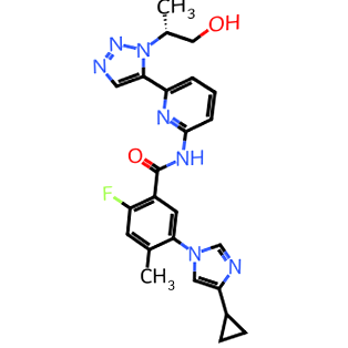 Cc1cc(F)c(C(=O)Nc2cccc(-c3cnnn3[C@H](C)CO)n2)cc1-n1cnc(C2CC2)c1